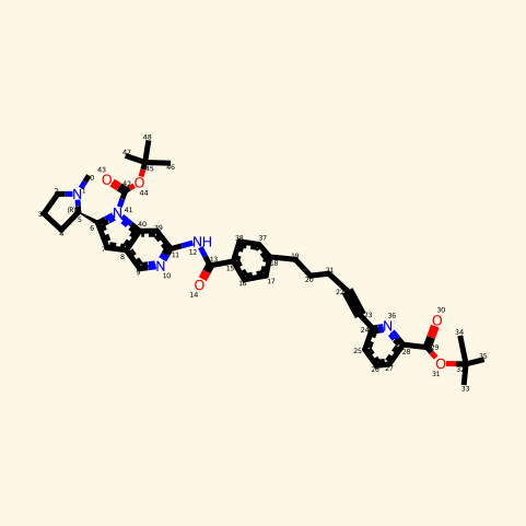 CN1CCC[C@@H]1c1cc2cnc(NC(=O)c3ccc(CCCC#Cc4cccc(C(=O)OC(C)(C)C)n4)cc3)cc2n1C(=O)OC(C)(C)C